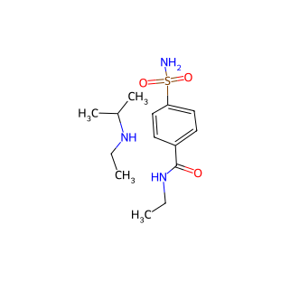 CCNC(=O)c1ccc(S(N)(=O)=O)cc1.CCNC(C)C